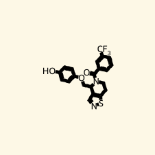 O=C(c1cccc(C(F)(F)F)c1)N1CCc2sncc2C1COc1ccc(O)cc1